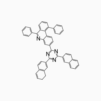 C1=Cc2ccc(-c3nc(-c4ccc5ccccc5c4)nc(-c4ccc5c(c4)nc(-c4ccccc4)c4cccc(-c6ccccc6)c45)n3)cc2CC1